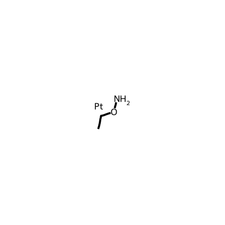 CCON.[Pt]